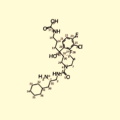 N[C@H](CNC(=O)N1CCC[C@@H]([C@@](O)(CCCNC(=O)O)c2ccc(F)c(Cl)c2F)C1)CC1CCCCC1